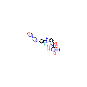 O=C1CCC(N2C(=O)c3cccc(NCc4ccc(CN5CCC(N6CCOCC6)CC5)cc4F)c3C2O)C(=O)N1